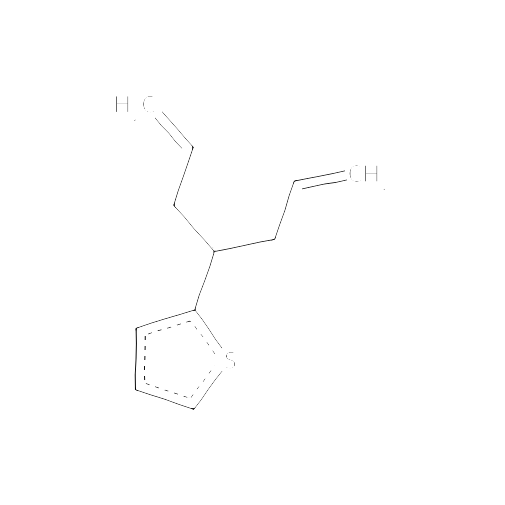 C=CC[C](CC=C)c1cccs1